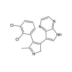 CC1=NCC(c2c[nH]c3nccnc23)=C1c1cccc(Cl)c1Cl